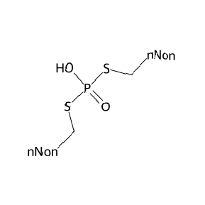 CCCCCCCCCCSP(=O)(O)SCCCCCCCCCC